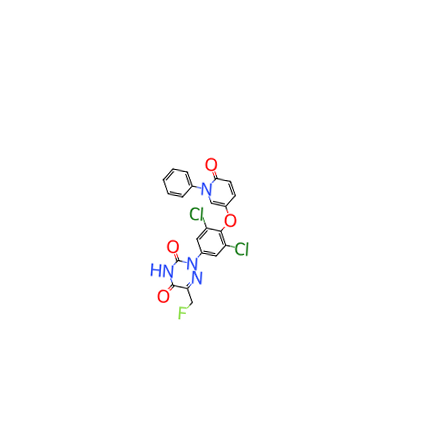 O=c1[nH]c(=O)n(-c2cc(Cl)c(Oc3ccc(=O)n(-c4ccccc4)c3)c(Cl)c2)nc1CF